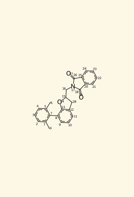 Cc1cccc(C)c1-c1cccc2c1OC(CN1C(=O)c3ccccc3C1=O)C2